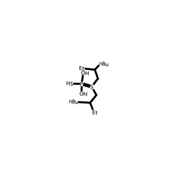 CCCCC(CC)CS(CC(CC)CCCC)=P(O)(O)S